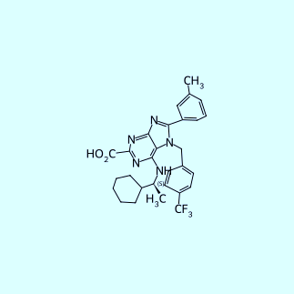 Cc1cccc(-c2nc3nc(C(=O)O)nc(N[C@@H](C)C4CCCCC4)c3n2Cc2ccc(C(F)(F)F)cc2)c1